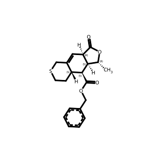 C[C@H]1OC(=O)[C@@H]2C=C3CSCC[C@H]3[C@H](C(=O)OCc3ccccc3)[C@H]12